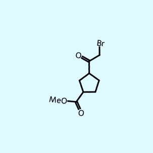 COC(=O)C1CCC(C(=O)CBr)C1